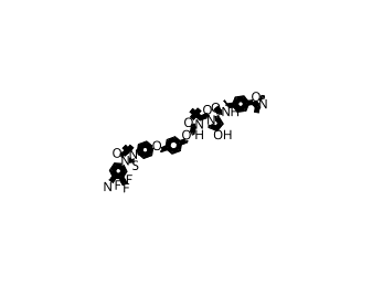 Cc1ncoc1-c1ccc([C@H](C)NC(=O)[C@@H]2C[C@@H](O)CN2C(=O)[C@@H](NC(=O)COCC2CCC(COc3ccc(N4C(=S)N(c5ccc(C#N)c(C(F)(F)F)c5)C(=O)C4(C)C)cc3)CC2)C(C)(C)C)cc1